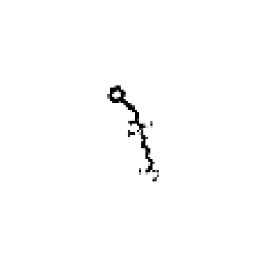 COC(=O)CCCCCNC(=O)/C(C)=C/C#Cc1ccccc1